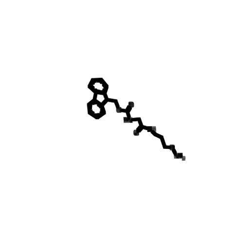 NOCCCNC(=O)CNC(=O)OCC1c2ccccc2-c2ccccc21